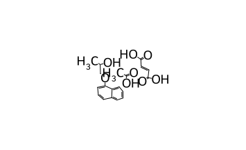 CC(=O)O.CC(O)COc1cccc2ccccc12.O=C(O)C=CC(=O)O